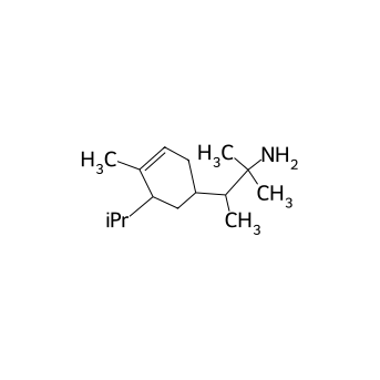 CC1=CCC(C(C)C(C)(C)N)CC1C(C)C